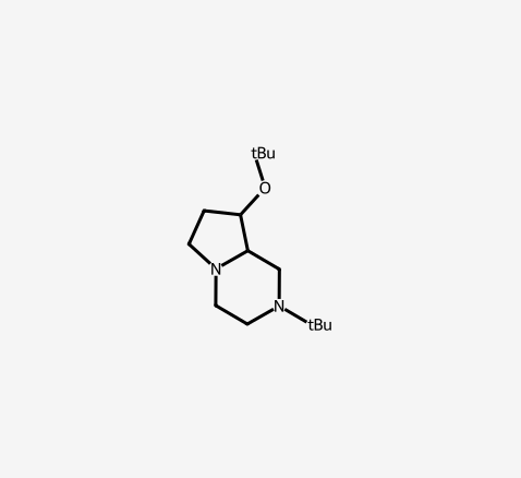 CC(C)(C)OC1CCN2CCN(C(C)(C)C)CC12